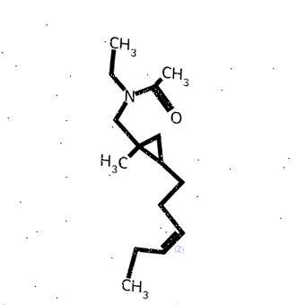 CC/C=C\CCC1CC1(C)CN(CC)C(C)=O